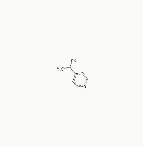 CC(C#N)c1ccncc1